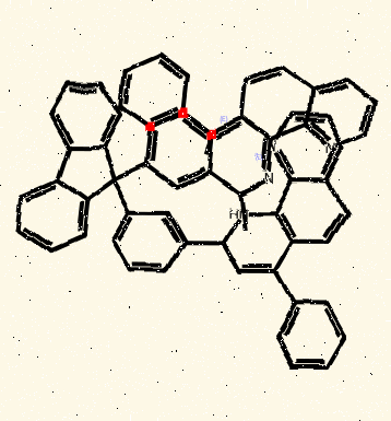 C/C(=C1/C=Cc2cccnc2/C1=N/C(C)c1cccc(C2(c3cccc(C4C=C(c5ccccc5)c5ccc6cccnc6c5N4)c3)c3ccccc3-c3ccccc32)c1)c1ccccc1